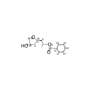 O=C(OCC[C@H]1C[C@H](O)CO1)c1ccccc1